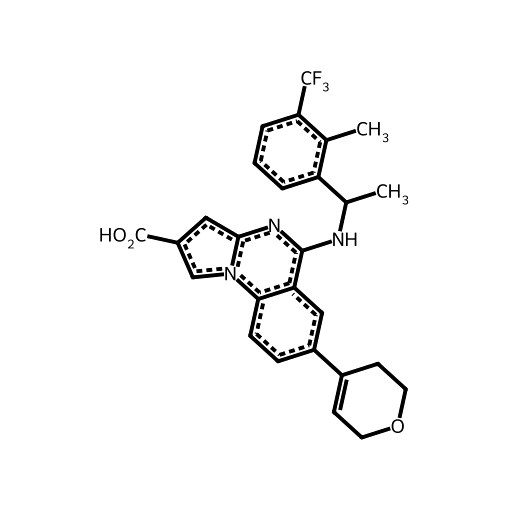 Cc1c(C(C)Nc2nc3cc(C(=O)O)cn3c3ccc(C4=CCOCC4)cc23)cccc1C(F)(F)F